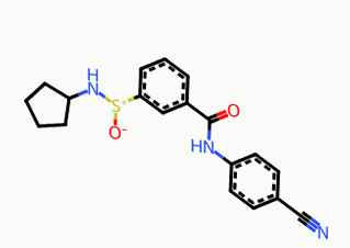 N#Cc1ccc(NC(=O)c2cccc([S+]([O-])NC3CCCC3)c2)cc1